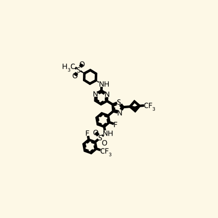 CS(=O)(=O)[C@H]1CC[C@H](Nc2nccc(-c3sc(C45CC(C(F)(F)F)(C4)C5)nc3-c3cccc(NS(=O)(=O)c4c(F)cccc4C(F)(F)F)c3F)n2)CC1